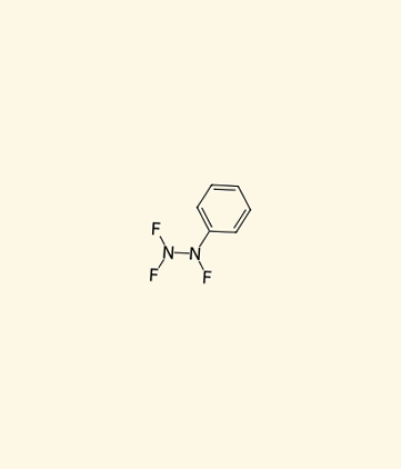 FN(F)N(F)c1ccccc1